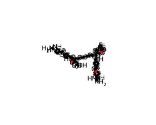 N=C(N)Nc1ccc(C(=O)Oc2ccc(CNS(=O)(=O)N(CCOCCOCCOCCN(C(CC(=O)OC(=O)C(F)(F)F)C(=O)O)S(=O)(=O)NCc3ccc(OC(=O)c4ccc(NC(=N)N)cc4)cc3)C(CC(=O)O)C(=O)O)cc2)cc1